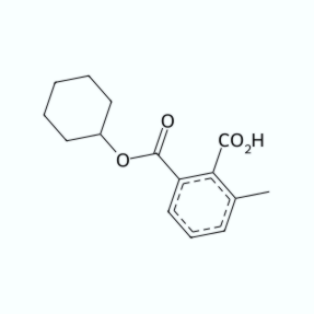 Cc1cccc(C(=O)OC2CCCCC2)c1C(=O)O